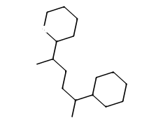 CC(CCC(C)C1CCCCN1)C1CCCCC1